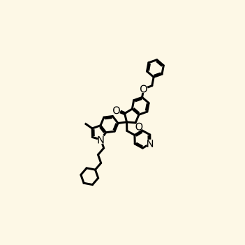 Cc1cn(CCCC2CCCCC2)c2cc(C3(Cc4ccncc4)C(=O)c4ccc(OCc5ccccc5)cc4C3=O)ccc12